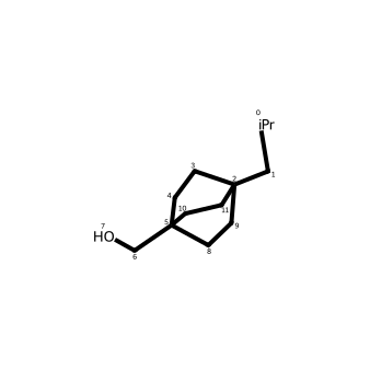 CC(C)CC12CCC(CO)(CC1)CC2